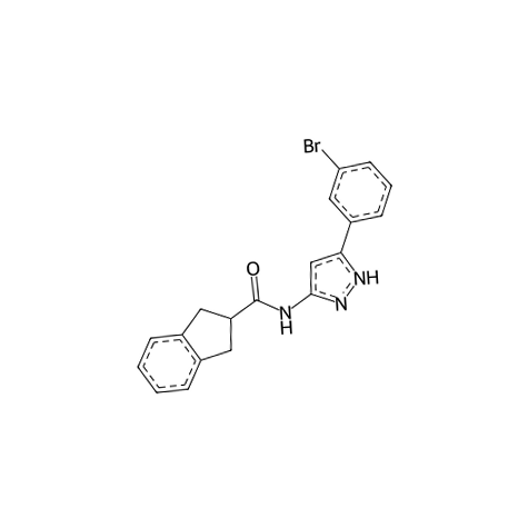 O=C(Nc1cc(-c2cccc(Br)c2)[nH]n1)C1Cc2ccccc2C1